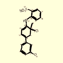 CC1(Cl)CC(c2cccc(Cl)c2)=CC=C1Nc1ccccc1C(=O)O